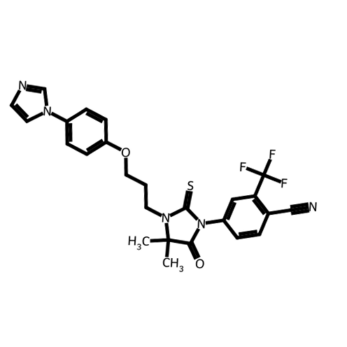 CC1(C)C(=O)N(c2ccc(C#N)c(C(F)(F)F)c2)C(=S)N1CCCOc1ccc(-n2ccnc2)cc1